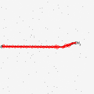 CCCCCC1CCC(C2CCC(C(=O)Oc3ccc(OC(=O)c4ccc(OCCCCCCCCOC(=O)CCC(=O)OCCCCOCCCCOCCCCOCCCCOCCCCOCCCCOCCCCOCCCCOCCCCOCCCCOCCCCOCCCCOCCCCOCCCCOCCCCOCCCCOCCCCOCCCCOC(=O)CCC)cc4)cc3)CC2)CC1